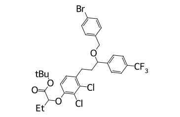 CCC(Oc1ccc(CCC(OCc2ccc(Br)cc2)c2ccc(C(F)(F)F)cc2)c(Cl)c1Cl)C(=O)OC(C)(C)C